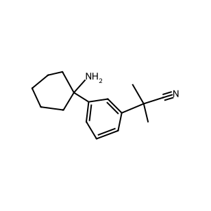 CC(C)(C#N)c1cccc(C2(N)CCCCC2)c1